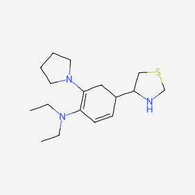 CCN(CC)C1=C(N2CCCC2)CC(C2CSCN2)C=C1